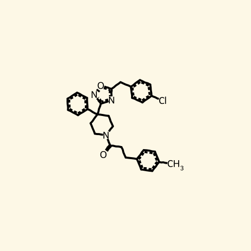 Cc1ccc(CCC(=O)N2CCC(c3ccccc3)(c3noc(Cc4ccc(Cl)cc4)n3)CC2)cc1